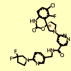 O=C1Nc2ccc(Cl)c(F)c2[C@]2(CCN(c3cc(C(=O)NCc4ccc(N5CCC(F)(F)C5)nc4)cnn3)C2)O1